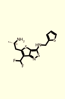 C[C@H](N)Cc1sc2c(NCc3cccs3)snc2c1C(F)F